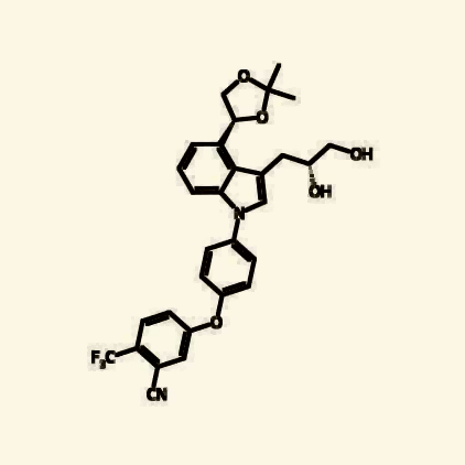 CC1(C)OC[C@H](c2cccc3c2c(C[C@@H](O)CO)cn3-c2ccc(Oc3ccc(C(F)(F)F)c(C#N)c3)cc2)O1